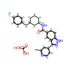 Cc1cc(-c2n[nH]c3ccc(C(=O)NC4CCCC(Cc5ccc(F)cc5)C4)cc23)ccn1.O=C(O)O